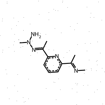 C/N=C(\C)c1cccc(/C(C)=N/N(C)N)n1